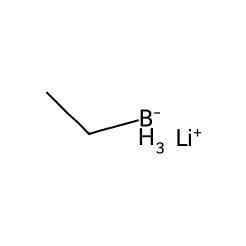 [BH3-]CC.[Li+]